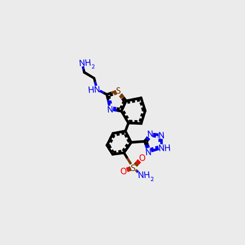 NCCNc1nc2c(-c3cccc(S(N)(=O)=O)c3-c3nn[nH]n3)cccc2s1